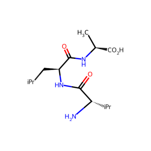 CC(C)C[C@H](NC(=O)[C@@H](N)C(C)C)C(=O)N[C@@H](C)C(=O)O